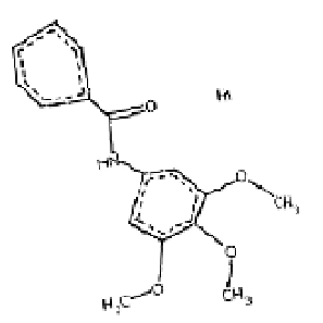 COc1cc(NC(=O)c2ccccc2)cc(OC)c1OC.I